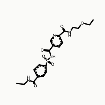 CCNC(=O)c1ccc(S(=O)(=O)NC(=O)c2ccc(C(=O)NCCOCC)nc2)cc1